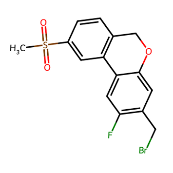 CS(=O)(=O)c1ccc2c(c1)-c1cc(F)c(CBr)cc1OC2